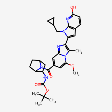 COc1cc(C(=O)N2C3CCC2C(NC(=O)OC(C)(C)C)C3)cc2nc(-c3cc4ccc(O)nc4n3CC3CC3)c(C)n12